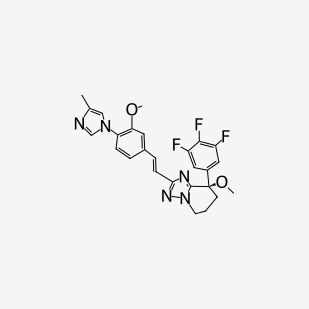 COc1cc(/C=C/c2nc3n(n2)CCC[C@@]3(OC)c2cc(F)c(F)c(F)c2)ccc1-n1cnc(C)c1